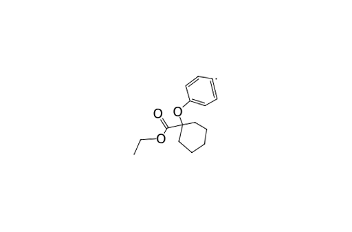 CCOC(=O)C1(Oc2cc[c]cc2)CCCCC1